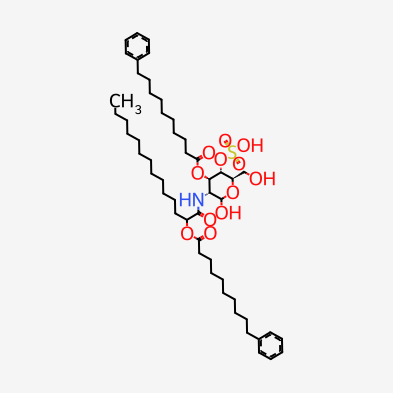 CCCCCCCCCCCCC(OC(=O)CCCCCCCCCc1ccccc1)C(=O)N[C@H]1C(O)O[C@H](CO)[C@@H](OS(=O)(=O)O)[C@@H]1OC(=O)CCCCCCCCCc1ccccc1